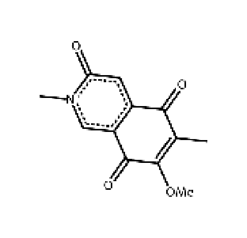 COC1=C(C)C(=O)c2cc(=O)n(C)cc2C1=O